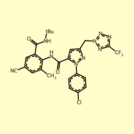 Cc1cc(C#N)cc(C(=O)NC(C)(C)C)c1NC(=O)c1cc(Cn2nnc(C(F)(F)F)n2)nn1-c1ccc(Cl)cc1